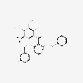 CCOC1=C(C)C(C(=O)c2c(OCc3ccccc3)ccnc2OCc2ccccc2)=CC(=S(=O)=O)C1C